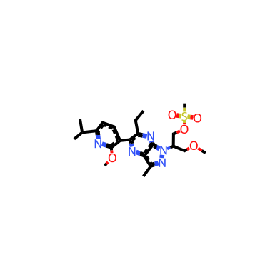 CCc1nc2c(nc1-c1ccc(C(C)C)nc1OC)c(C)nn2C(COC)COS(C)(=O)=O